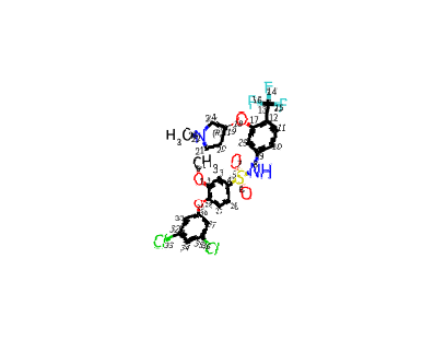 COc1cc(S(=O)(=O)Nc2ccc(C(F)(F)F)c(O[C@@H]3CCN(C)C3)c2)ccc1Oc1cc(Cl)cc(Cl)c1